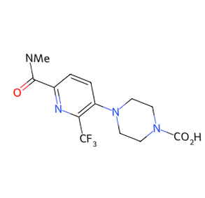 CNC(=O)c1ccc(N2CCN(C(=O)O)CC2)c(C(F)(F)F)n1